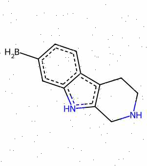 Bc1ccc2c3c([nH]c2c1)CNCC3